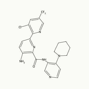 Nc1ccc(-c2ncc(C(F)(F)F)cc2Cl)nc1C(=O)Nc1cnccc1N1CCCCC1